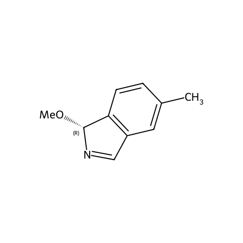 CO[C@H]1N=Cc2cc(C)ccc21